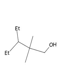 CCC(CC)C(C)(C)CO